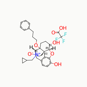 O=C(O)C(F)(F)F.[O-][N+]1(CC2CC2)CC[C@]23c4c5ccc(O)c4O[C@H]2[C@@H](O)CCC3(OCCCc2ccccc2)[C@H]1C5